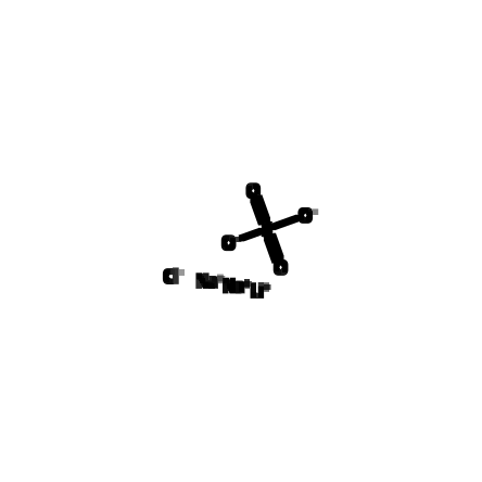 O=S(=O)([O-])[O-].[Cl-].[Li+].[Na+].[Na+]